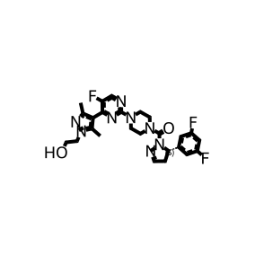 Cc1nn(CCO)c(C)c1-c1nc(N2CCN(C(=O)N3N=CC[C@H]3c3cc(F)cc(F)c3)CC2)ncc1F